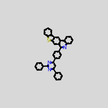 c1ccc(-c2cc(-c3ccc(-c4nc5ccccc5c5cc6c(cc45)sc4ccccc46)cc3)nc(-c3ccccc3)n2)cc1